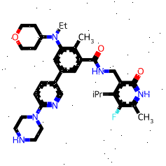 CCN(c1cc(-c2ccc(N3CCNCC3)nc2)cc(C(=O)NCc2c(C(C)C)c(F)c(C)[nH]c2=O)c1C)C1CCOCC1